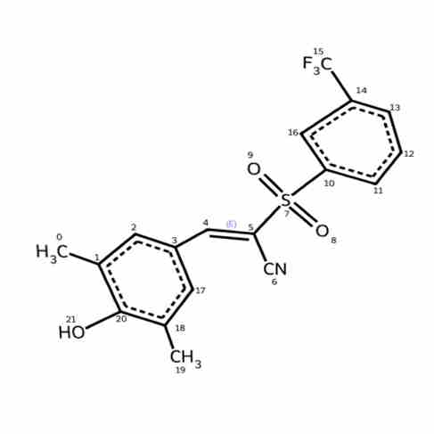 Cc1cc(/C=C(\C#N)S(=O)(=O)c2cccc(C(F)(F)F)c2)cc(C)c1O